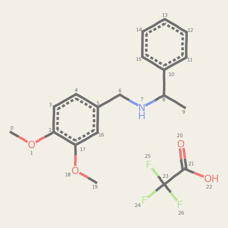 COc1ccc(CNC(C)c2ccccc2)cc1OC.O=C(O)C(F)(F)F